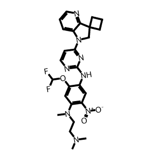 CN(C)CCN(C)c1cc(OC(F)F)c(Nc2nccc(N3CC4(CCC4)c4ncccc43)n2)cc1[N+](=O)[O-]